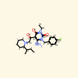 CCC(C)C1CCCCN1CC(=O)c1c(N)n(Cc2ccc(F)cc2)c(=O)n(CC)c1=O